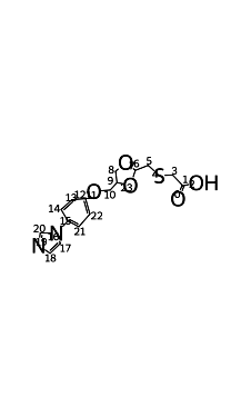 O=C(O)CSCC1OCC(COc2ccc(-n3ccnc3)cc2)O1